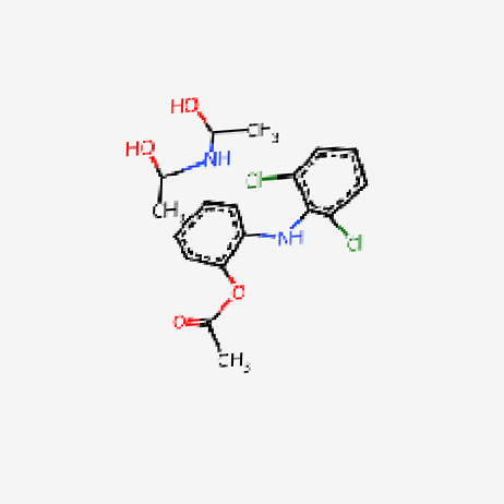 CC(=O)Oc1ccccc1Nc1c(Cl)cccc1Cl.CC(O)NC(C)O